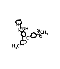 CC1COC(c2cc3nc(-c4ccccn4)[nH]c3cc2Oc2ccc(S(C)(=O)=O)cc2)C1